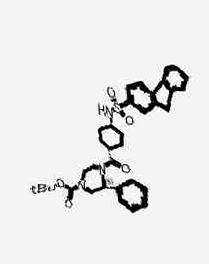 CC(C)(C)OC(=O)N1CCN(C(=O)[C@H]2CC[C@H](NS(=O)(=O)c3ccc4c(c3)Cc3ccccc3-4)CC2)[C@@H](c2ccccc2)C1